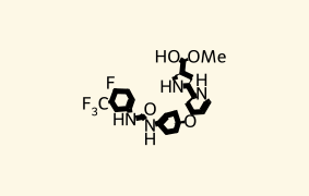 CO[C@H](O)[C@H]1CN[C@@H]([C@@H]2C[C@H](O[C@@H]3CC=C(NC(=O)NC4=CC[C@H](F)[C@H](C(F)(F)F)C4)CC3)C=CN2)C1